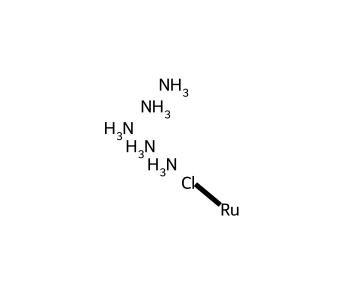 N.N.N.N.N.[Cl][Ru]